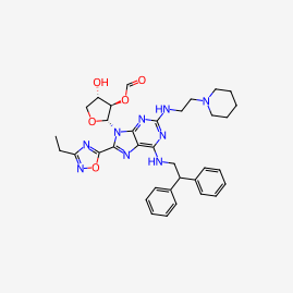 CCc1noc(-c2nc3c(NCC(c4ccccc4)c4ccccc4)nc(NCCN4CCCCC4)nc3n2[C@@H]2OC[C@H](O)[C@H]2OC=O)n1